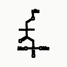 CCCCOCC(C)(C)C(=O)CP(=O)(OC)OC